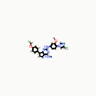 CNc1nc(Nc2ccc(-n3cnc(Cl)c3)c(OC)c2)nc2c1CCC2c1ccc(OCF)cc1